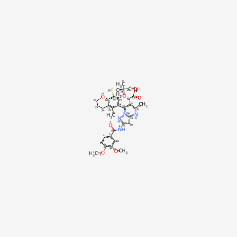 COc1ccc(C(=O)Nc2cc3nc(C)c([C@H](OC(C)(C)C)C(=O)O)c(-c4cc(F)c5c(c4C)CCCO5)n3n2)cc1OC